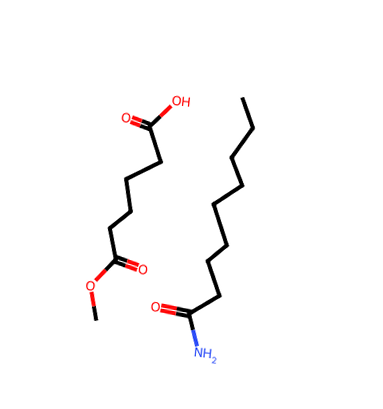 CCCCCCCCC(N)=O.COC(=O)CCCCC(=O)O